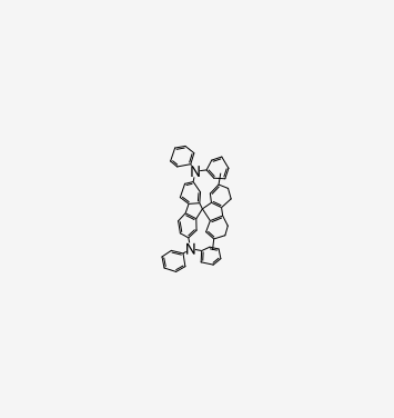 CC1=CC2=C(CC1)C1=C(C=C(C)CC1)C21c2cc(N(c3ccccc3)c3ccccc3)ccc2-c2ccc(N(c3ccccc3)c3ccccc3)cc21